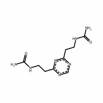 NC(=O)NCCc1ncnc(CCNC(N)=O)n1